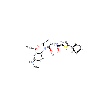 COC(=O)C1CC(NC(C)(C)C)CCC1N1CC[C@H](NC(=O)c2ccc(-c3ccccc3)s2)C1=O